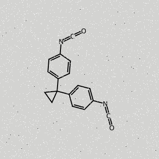 O=C=Nc1ccc(C2(c3ccc(N=C=O)cc3)CC2)cc1